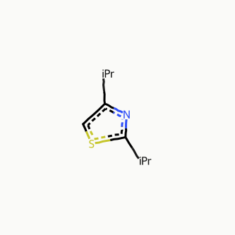 CC(C)c1csc(C(C)C)n1